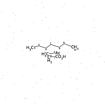 CC(=O)O.CC(C)=O.CCCCCCC